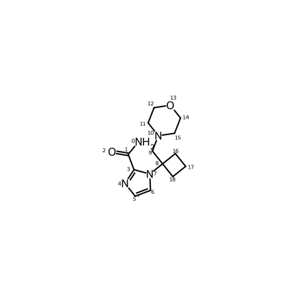 NC(=O)c1n[c]cn1C1(CN2CCOCC2)CCC1